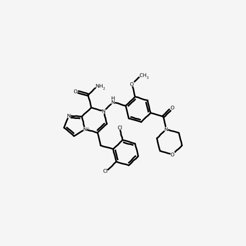 COc1cc(C(=O)N2CCOCC2)ccc1NN1C=C(Cc2c(Cl)cccc2Cl)[N+]2C=CN=C2C1C(N)=O